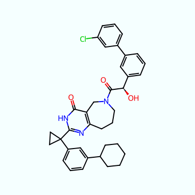 O=C([C@H](O)c1cccc(-c2cccc(Cl)c2)c1)N1CCCc2nc(C3(c4cccc(C5CCCCC5)c4)CC3)[nH]c(=O)c2C1